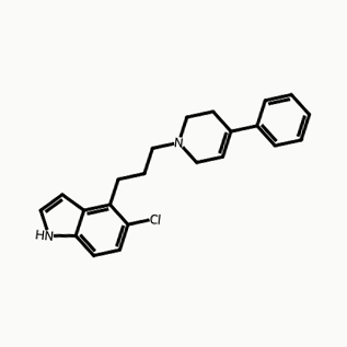 Clc1ccc2[nH]ccc2c1CCCN1CC=C(c2ccccc2)CC1